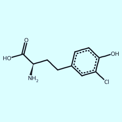 N[C@H](CCc1ccc(O)c(Cl)c1)C(=O)O